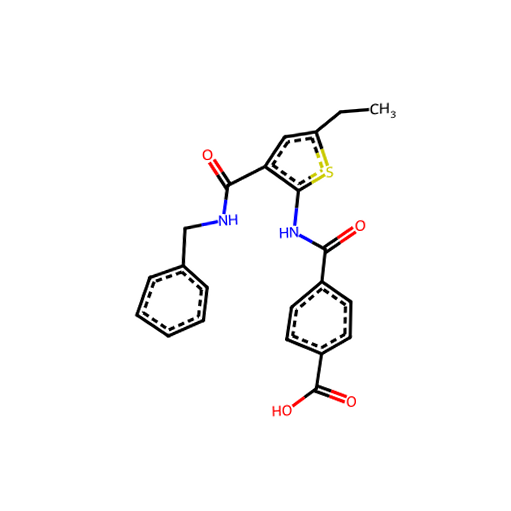 CCc1cc(C(=O)NCc2ccccc2)c(NC(=O)c2ccc(C(=O)O)cc2)s1